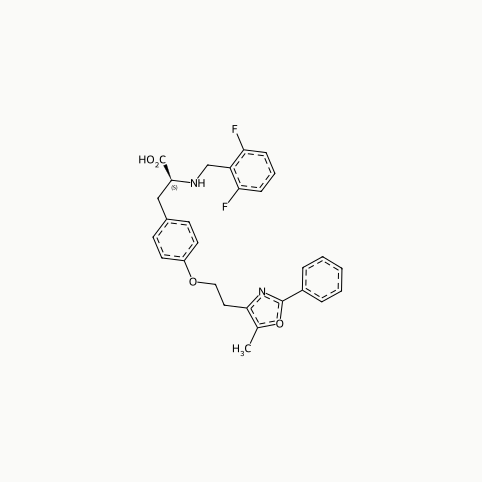 Cc1oc(-c2ccccc2)nc1CCOc1ccc(C[C@H](NCc2c(F)cccc2F)C(=O)O)cc1